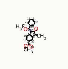 C=C1C(=O)/C(=C(/OC)c2ccccc2)c2ccc(C(=O)OC)cc21